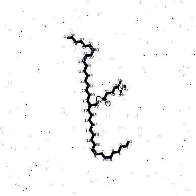 CCCCC/C=C\C/C=C\CCCCCCCCC(CCCCCCCC/C=C\C/C=C\CCCCC)COC(=O)CCC[N+](C)(C)C